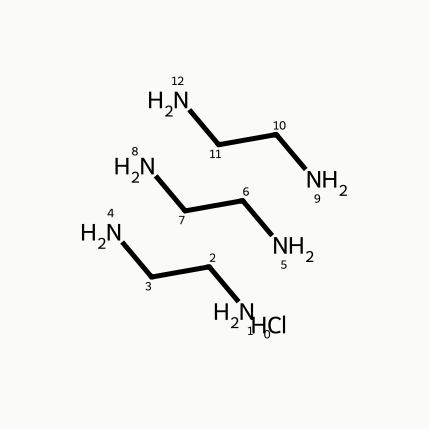 Cl.NCCN.NCCN.NCCN